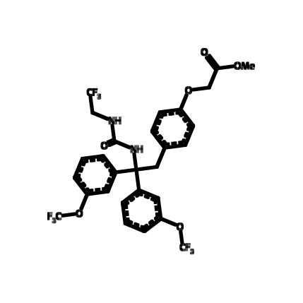 COC(=O)COc1ccc(CC(NC(=O)NCC(F)(F)F)(c2cccc(OC(F)(F)F)c2)c2cccc(OC(F)(F)F)c2)cc1